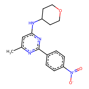 Cc1cc(NC2CCOCC2)nc(-c2ccc([N+](=O)[O-])cc2)n1